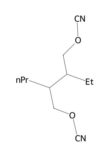 CCCC(COC#N)C(CC)COC#N